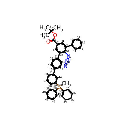 CC(C)(C)OC(=O)c1cc(-c2ccccc2)c(N=[N+]=[N-])c(-c2ccc(-c3cccc(S(C)(C4=CCCC=C4)c4ccccc4)c3)cc2)c1